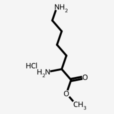 COC(=O)C(N)CCCCN.Cl